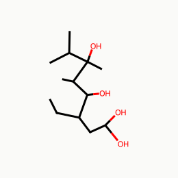 CCC(CC(O)O)C(O)C(C)C(C)(O)C(C)C